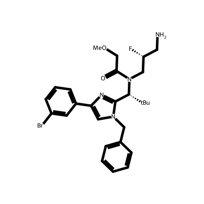 COCC(=O)N(C[C@H](F)CN)[C@@H](c1nc(-c2cccc(Br)c2)cn1Cc1ccccc1)C(C)(C)C